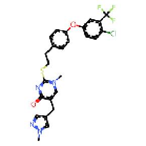 Cn1cc(Cc2cn(C)c(SCCc3ccc(Oc4ccc(Cl)c(C(F)(F)F)c4)cc3)nc2=O)cn1